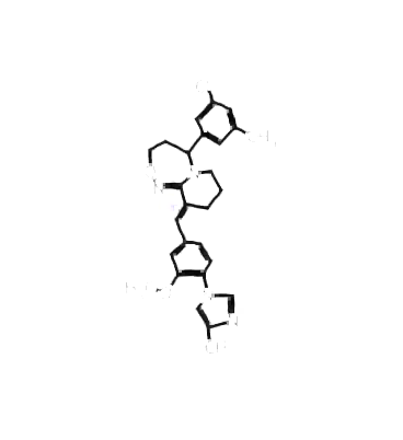 COc1cc(/C=C2\CCCN3C2=NOCCC3c2cc(C)cc(Cl)c2)ccc1-n1cnc(C)c1